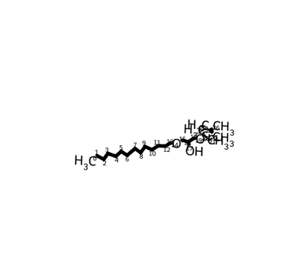 CCCCCCCCCCCCCCOCC(O)CO[Si](C)(C)C(C)(C)C